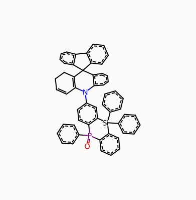 O=P1(c2ccccc2)c2ccccc2[Si](c2ccccc2)(c2ccccc2)c2cc(N3C4=C(CCC=C4)C4(c5ccccc5-c5ccccc54)c4ccccc43)ccc21